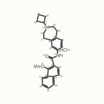 COc1c(C(=O)Nc2ccc3c(c2)CCN(C2CCC2)CC3)ccc2ccccc12.Cl